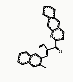 C=C/C(=C\c1cc2ccccc2cc1C)C(=O)c1ccc2cc3ccccc3cc2n1